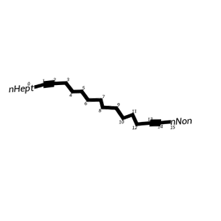 CCCCCCCC#CCCCCCCCCCCC#CCCCCCCCCC